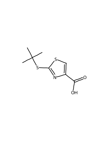 CC(C)(C)Sc1nc(C(=O)O)cs1